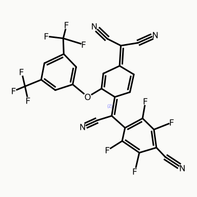 N#CC(C#N)=c1cc/c(=C(/C#N)c2c(F)c(F)c(C#N)c(F)c2F)c(Oc2cc(C(F)(F)F)cc(C(F)(F)F)c2)c1